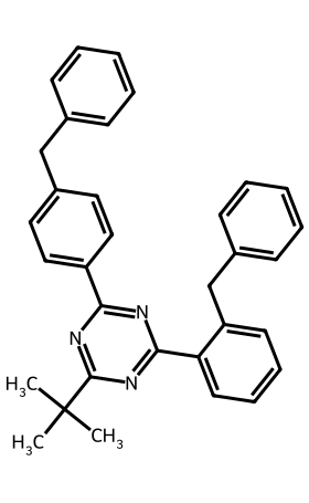 CC(C)(C)c1nc(-c2ccc(Cc3ccccc3)cc2)nc(-c2ccccc2Cc2ccccc2)n1